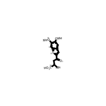 COc1cc2cc(C(=O)CC(C(=O)O)C(C)C)sc2cc1OC